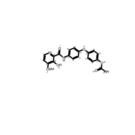 COc1ccnc(C(=O)Nc2ccc(Oc3ccc(OC(=O)C(C)C)cc3)cc2)c1O